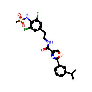 CC(C)c1cccc(-c2nc(C(=O)NCCc3cc(F)c(NS(C)(=O)=O)c(F)c3)co2)c1